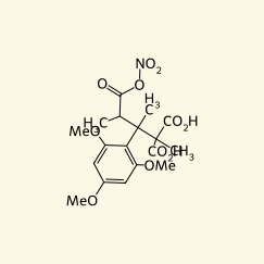 COc1cc(OC)c(C(C)(C(C)C(=O)O[N+](=O)[O-])C(C)(C(=O)O)C(=O)O)c(OC)c1